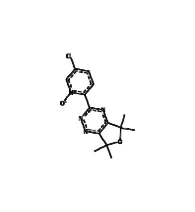 CC1(C)OC(C)(C)c2nc(-c3ccc(Cl)c[n+]3[O-])nnc21